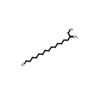 C=C(CCCCCCCCCCCCCCC(C)=O)CC(C)C